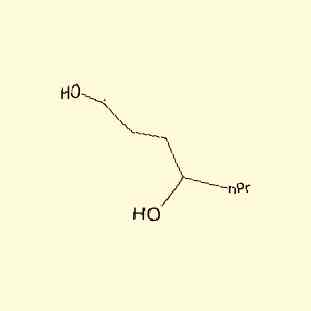 CCCC(O)CC[CH]O